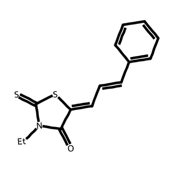 CCN1C(=O)/C(=C/C=C/c2ccccc2)SC1=S